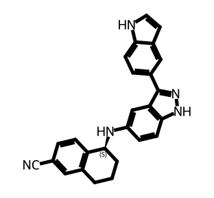 N#Cc1ccc2c(c1)CCC[C@@H]2Nc1ccc2[nH]nc(-c3ccc4[nH]ccc4c3)c2c1